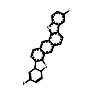 FC1=CC2c3ccc4cc5c(ccc6c7cc(F)ccc7sc56)cc4c3SC2C=C1